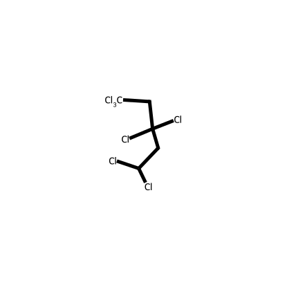 ClC(Cl)CC(Cl)(Cl)CC(Cl)(Cl)Cl